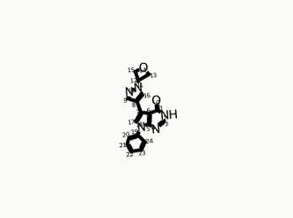 O=c1[nH]cnc2c1c(-c1cnn(C3COC3)c1)cn2-c1ccccc1